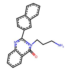 NCCCn1c(-c2ccc3ccccc3c2)nc2ccccc2c1=O